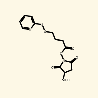 O=C(CCCSSc1ccccn1)ON1C(=O)CC(S(=O)(=O)O)C1=O